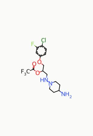 NC1CCN(NCC(COc2ccc(Cl)c(F)c2)OC(=O)C(F)(F)F)CC1